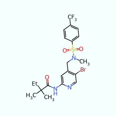 CCC(C)(C)C(=O)Nc1cc(CN(C)S(=O)(=O)c2ccc(C(F)(F)F)cc2)c(Br)cn1